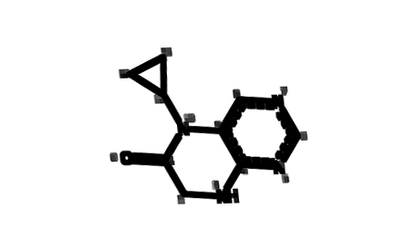 O=C1CNc2ncncc2N1C1CC1